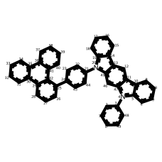 c1ccc(-n2c3ccccc3c3cc4c5ccccc5n(-c5ccc(-c6cccc7c8ccccc8c8ccccc8c67)cc5)c4cc32)cc1